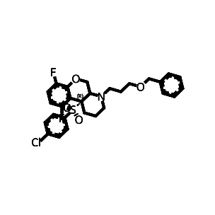 O=S(=O)(c1ccc(Cl)cc1)[C@@]12CCCN(CCCOCc3ccccc3)C1COc1c(F)ccc(F)c12